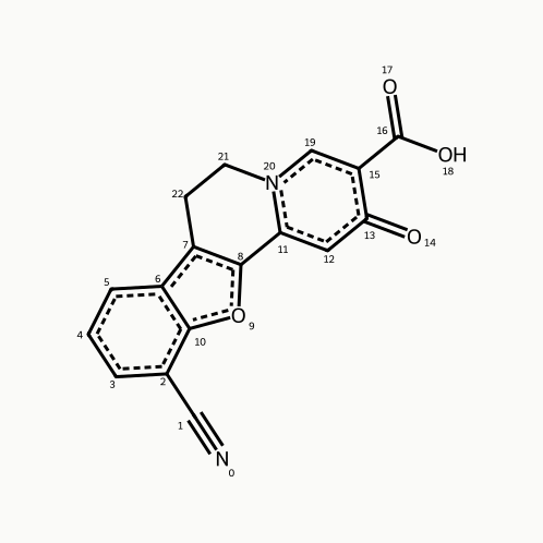 N#Cc1cccc2c3c(oc12)-c1cc(=O)c(C(=O)O)cn1CC3